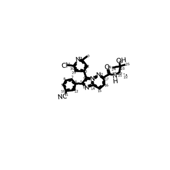 Cc1cc(-c2c(-c3cccc(C#N)c3)nc3ccc(C(=O)N[C@@H](C)C(C)(C)O)nn23)cc(Cl)n1